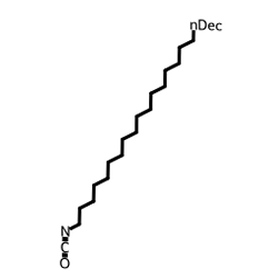 CCCCCCCCCCCCCCCCCCCCCCCCCCCN=C=O